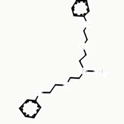 CN(CCOCCOc1ccccc1)CCOCCOc1ccccc1